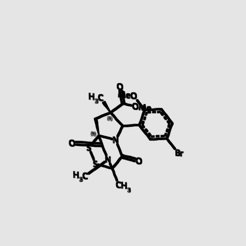 COC(=O)[C@@]1(C)C[C@@]23SSC(C)(C(=O)N2C1c1cc(Br)ccc1OC)N(C)C3=O